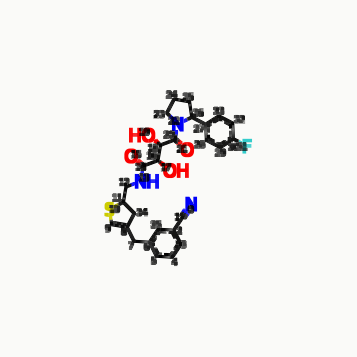 N#Cc1cccc(CC2=CSC(CNC(=O)[C@H](O)[C@@H](O)C(=O)N3CCCC3c3ccc(F)cc3)C2)c1